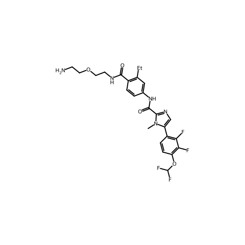 CCc1cc(NC(=O)c2ncc(-c3ccc(OC(F)F)c(F)c3F)n2C)ccc1C(=O)NCCOCCN